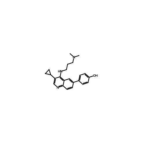 CN(C)CCCNc1c(C2CC2)cnc2ccc(-c3ccc(O)cc3)cc12